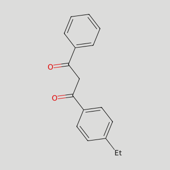 CCc1ccc(C(=O)CC(=O)c2ccccc2)cc1